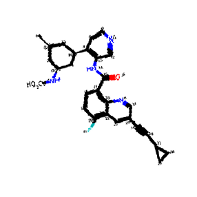 C[C@@H]1C[C@H](NC(=O)O)C[C@H](c2ccncc2NC(=O)c2ccc(F)c3cc(C#CC4CC4)cnc23)C1